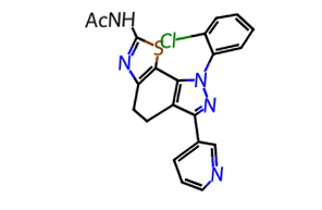 CC(=O)Nc1nc2c(s1)-c1c(c(-c3cccnc3)nn1-c1ccccc1Cl)CC2